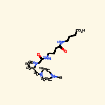 CCN1[13CH2][13CH2]N([13CH2][13CH]2[13CH2][13CH2][13CH2][15N]2CC(=O)[15NH]CCCC(=O)NCCCC(=O)O)[13CH2][13CH2]1